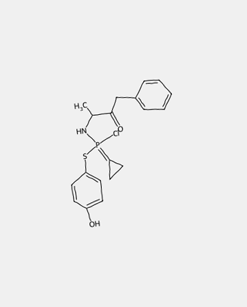 CC(NP(Cl)(Sc1ccc(O)cc1)=C1CC1)C(=O)Cc1ccccc1